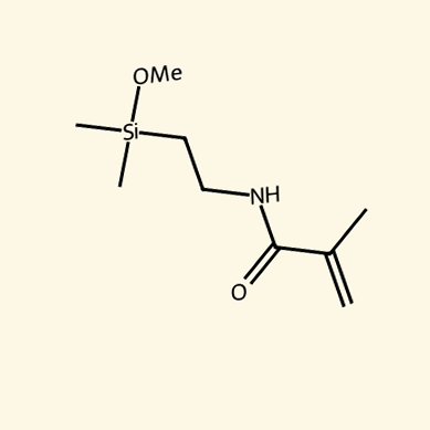 C=C(C)C(=O)NCC[Si](C)(C)OC